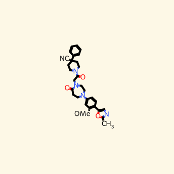 COc1cc(N2CCC(=O)N(CC(=O)N3CCC(C#N)(c4ccccc4)CC3)CC2)ccc1-c1cnc(C)o1